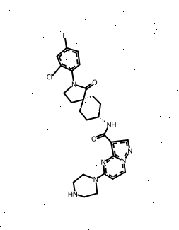 O=C(N[C@H]1CC[C@@]2(CCN(c3ccc(F)cc3Cl)C2=O)CC1)c1cnn2ccc(N3CCNCC3)nc12